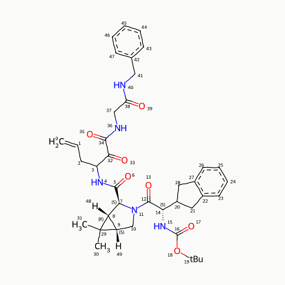 C=CCC(NC(=O)[C@@H]1[C@@H]2[C@H](CN1C(=O)[C@@H](NC(=O)OC(C)(C)C)C1Cc3ccccc3C1)C2(C)C)C(=O)C(=O)NCC(=O)NCc1ccccc1